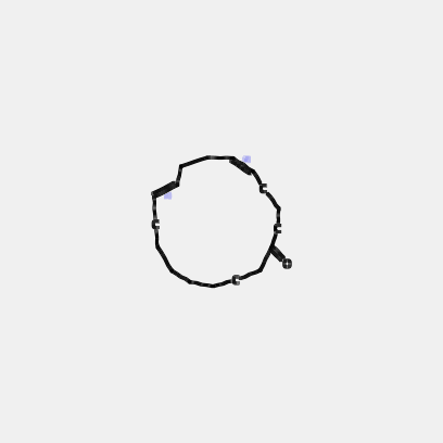 O=C1CCC/C=C\CC/C=C/CCCCCCC1